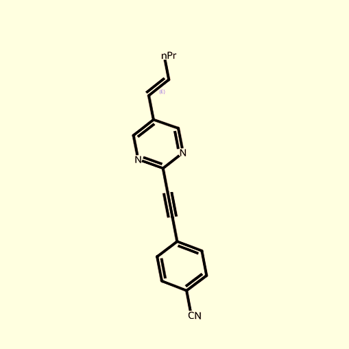 CCC/C=C/c1cnc(C#Cc2ccc(C#N)cc2)nc1